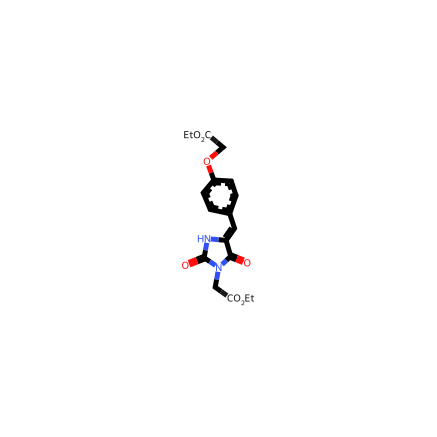 CCOC(=O)COc1ccc(/C=C2\NC(=O)N(CC(=O)OCC)C2=O)cc1